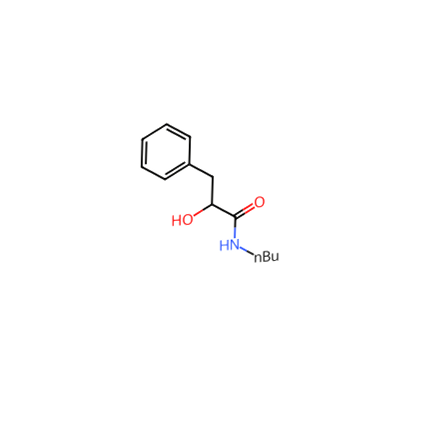 CCCCNC(=O)C(O)Cc1ccccc1